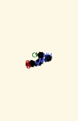 Clc1ccc2c(c1)C(N1CCN(Cc3ccc4c(c3)OCO4)CC1)=Nc1ccccc1N2